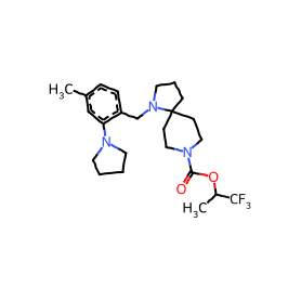 Cc1ccc(CN2CCCC23CCN(C(=O)OC(C)C(F)(F)F)CC3)c(N2CCCC2)c1